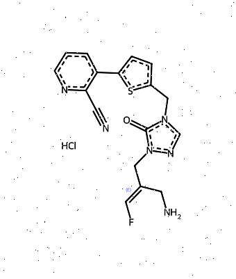 Cl.N#Cc1ncccc1-c1ccc(Cn2cnn(C/C(=C/F)CN)c2=O)s1